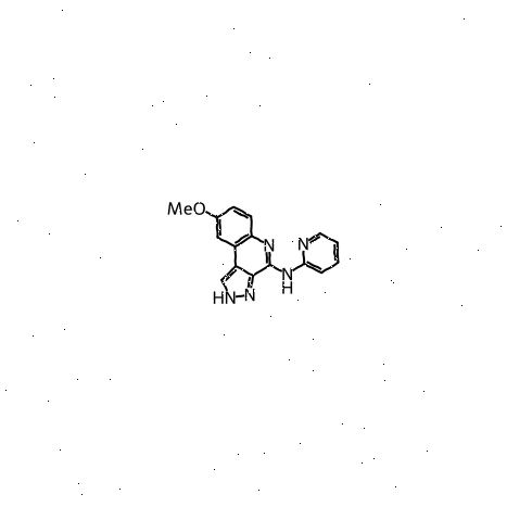 COc1ccc2nc(Nc3ccccn3)c3n[nH]cc3c2c1